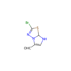 O=CC1=CNC2SC(Br)=NN12